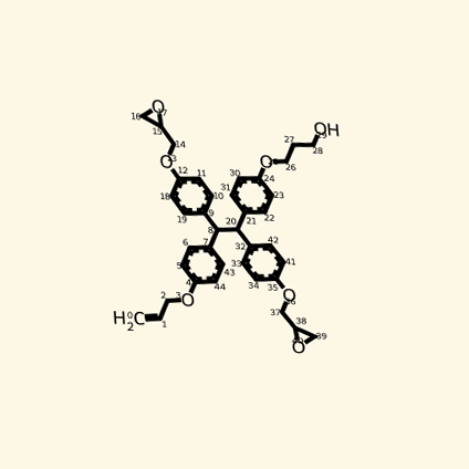 C=CCOc1ccc(C(c2ccc(OCC3CO3)cc2)C(c2ccc(OCCCO)cc2)c2ccc(OCC3CO3)cc2)cc1